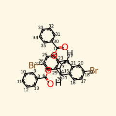 O=C(OC1C(OC(=O)c2ccccc2)[C@H]2c3ccc(Br)cc3[C@H]1c1ccc(Br)cc12)c1ccccc1